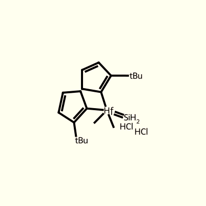 CC(C)(C)C1=[C]([Hf]([CH3])([CH3])(=[SiH2])[C]2=C(C(C)(C)C)C=CC2)CC=C1.Cl.Cl